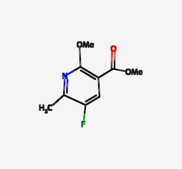 COC(=O)c1cc(F)c(C)nc1OC